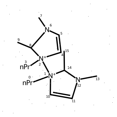 CCC[N+]1([N+]2(CCC)C=CN(C)C2C)C=CN(C)C1C